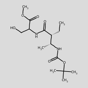 CC[C@@H](C(=O)NC(CO)C(=O)OC)[C@@H](C)NC(=O)OC(C)(C)C